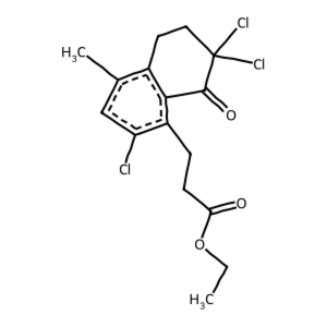 CCOC(=O)CCc1c(Cl)cc(C)c2c1C(=O)C(Cl)(Cl)CC2